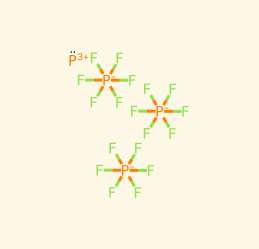 F[P-](F)(F)(F)(F)F.F[P-](F)(F)(F)(F)F.F[P-](F)(F)(F)(F)F.[P+3]